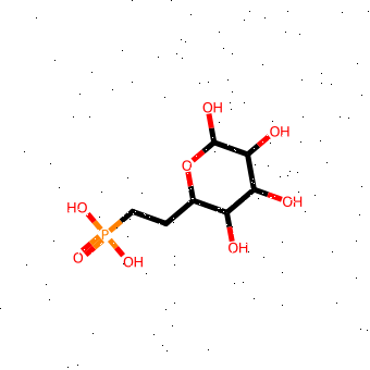 O=P(O)(O)CCC1OC(O)C(O)C(O)C1O